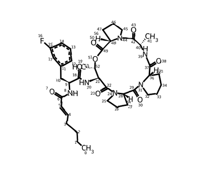 CCCC/C=C/C(=O)N[C@@H](Cc1cccc(F)c1)C(=O)N[C@@H]1C(=O)N2CCC[C@H]2C(=O)N2CCCC[C@H]2C(=O)N[C@@H](C)C(=O)N2CCC[C@H]2C(=O)O[C@H]1C